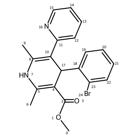 COC(=O)C1=C(C)NC(C)=C(c2ccccn2)C1c1ccccc1Br